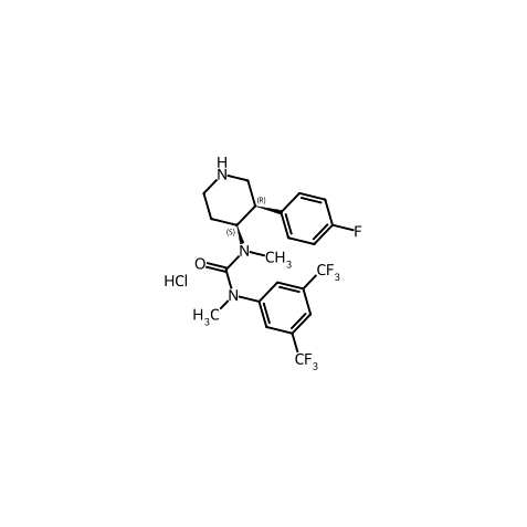 CN(C(=O)N(C)[C@H]1CCNC[C@H]1c1ccc(F)cc1)c1cc(C(F)(F)F)cc(C(F)(F)F)c1.Cl